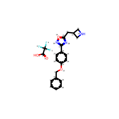 O=C(O)C(F)(F)F.c1ccc(COc2ccc(-c3noc(CC4CNC4)n3)cc2)cc1